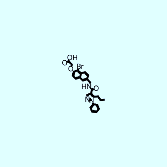 CCCc1c(C(=O)NCc2ccc3c(Br)c(OCC(=O)O)ccc3c2)cnn1-c1ccccc1